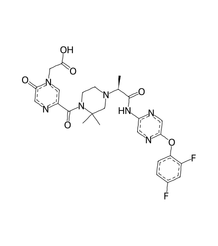 C[C@@H](C(=O)Nc1cnc(Oc2ccc(F)cc2F)cn1)N1CCN(C(=O)c2cn(CC(=O)O)c(=O)cn2)C(C)(C)C1